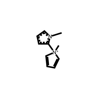 Cn1cccc1[N+]1(C)C=CC=C1